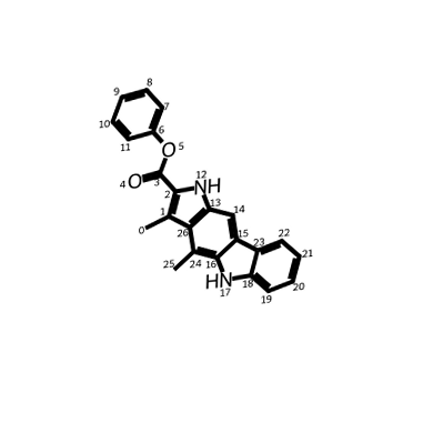 Cc1c(C(=O)Oc2ccccc2)[nH]c2cc3c([nH]c4ccccc43)c(C)c12